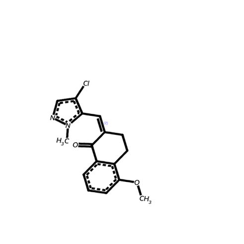 COc1cccc2c1CC/C(=C/c1c(Cl)cnn1C)C2=O